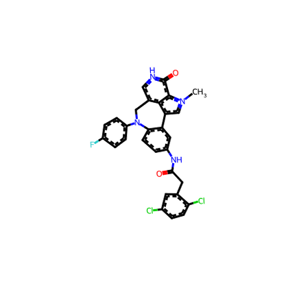 Cn1cc2c3c(c[nH]c(=O)c31)CN(c1ccc(F)cc1)c1ccc(NC(=O)Cc3cc(Cl)ccc3Cl)cc1-2